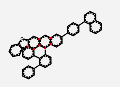 c1ccc(-c2ccccc2-c2c(-c3ccccc3)cccc2N(c2ccc(-c3ccc(-c4cccc5ccccc45)cc3)cc2)c2ccc3oc4ccccc4c3c2)cc1